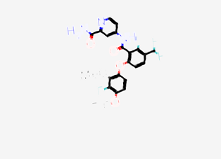 COc1c(Oc2ccc(C(F)F)c(F)c2C(=O)Nc2ccnc(C(N)=O)c2)ccc(OC(F)(F)F)c1F